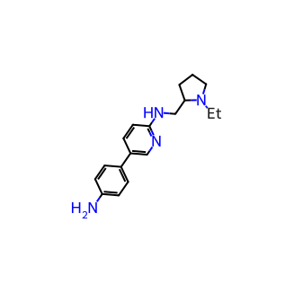 CCN1CCCC1CNc1ccc(-c2ccc(N)cc2)cn1